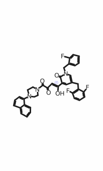 O=C(/C=C(\O)c1cc(Cc2c(F)cccc2F)cn(Cc2ccccc2F)c1=O)C(=O)N1CCN(c2cccc3ccccc23)CC1